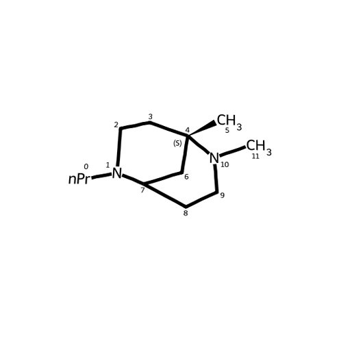 CCCN1CC[C@@]2(C)CC1CCN2C